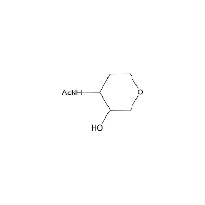 CC(=O)NC1CCOCC1O